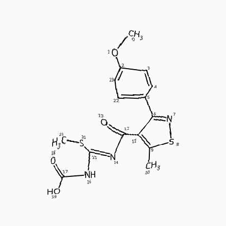 COc1ccc(-c2nsc(C)c2C(=O)N=C(NC(=O)O)SC)cc1